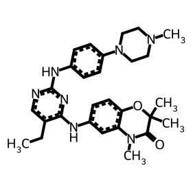 CCc1cnc(Nc2ccc(N3CCN(C)CC3)cc2)nc1Nc1ccc2c(c1)N(C)C(=O)C(C)(C)O2